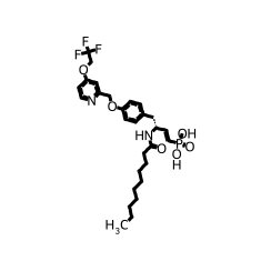 CCCCCCCCCC(=O)N[C@@H](C=CP(=O)(O)O)Cc1ccc(OCc2cc(OCC(F)(F)F)ccn2)cc1